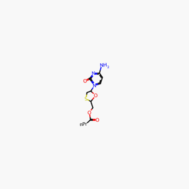 CCCC(=O)OCC1OC(n2ccc(N)nc2=O)CS1